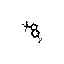 COc1ccc2c(c1)CCC2C(F)(F)F